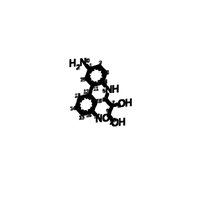 Nc1ccc(NCC(O)CO)c(-c2cccc([N+](=O)[O-])c2)c1